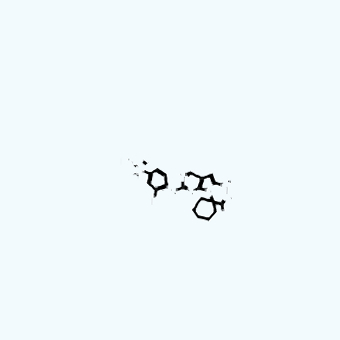 CCN1N=C(F)C2(CCCCC2)n2c1cc1cnc(Nc3ccc(S(N)(=O)=O)cc3F)nc12